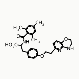 Cc1cc(C)c(C(=O)N[C@@H](Cc2ccc(OCCc3ccc4c(n3)NCCO4)cc2)C(=O)O)c(C)c1